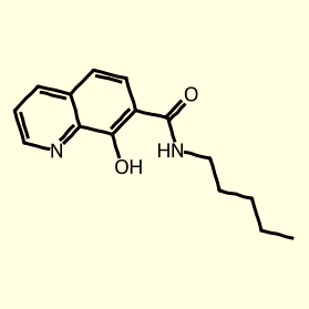 CCCCCNC(=O)c1ccc2cccnc2c1O